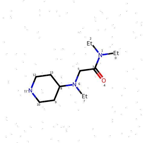 CCN(CC)C(=O)CN(CC)C1CC[N]CC1